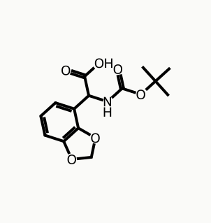 CC(C)(C)OC(=O)NC(C(=O)O)c1cccc2c1OCO2